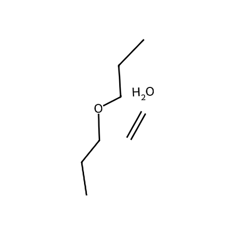 C=C.CCCOCCC.O